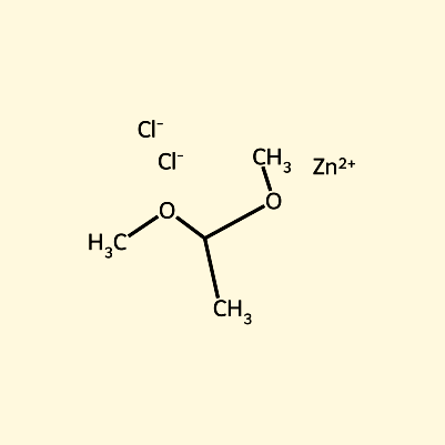 COC(C)OC.[Cl-].[Cl-].[Zn+2]